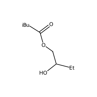 CCC(O)COC(=O)C(C)CC